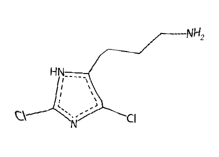 NCCCc1[nH]c(Cl)nc1Cl